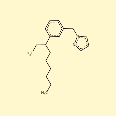 CCCCCCC(CC)c1cccc(Cn2cccn2)c1